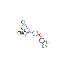 CN(Cc1nc(Cl)ccc1C=O)C1CCC(Oc2ccc(C#N)c(Cl)c2)CC1